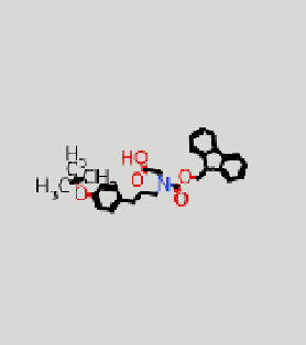 CC(C)(C)Oc1ccc(CCCN(CC(=O)O)C(=O)OCC2c3ccccc3-c3ccccc32)cc1